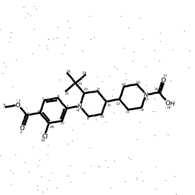 COC(=O)c1ccc(N2CCC(C3CCN(C(=O)O)CC3)CC2C(C)(C)C)cc1Cl